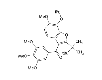 COc1cc(C(=O)c2c([Si](C)(C)C(C)(C)C)oc3c(OC(C)C)c(OC)ccc23)cc(OC)c1OC